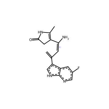 C=C(/C=C(/N)C1=C(C)NC(=O)C1)c1c[nH]c2ncc(F)cc12